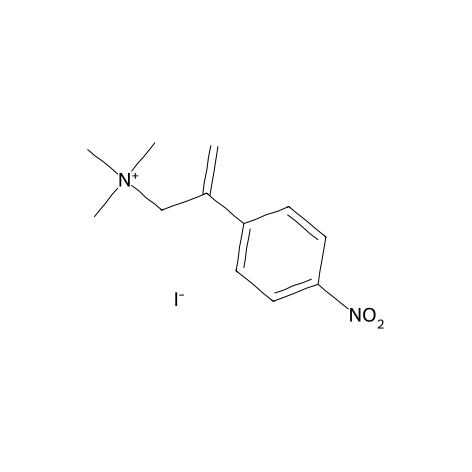 C=C(C[N+](C)(C)C)c1ccc([N+](=O)[O-])cc1.[I-]